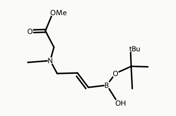 COC(=O)CN(C)C/C=C/B(O)OC(C)(C)C(C)(C)C